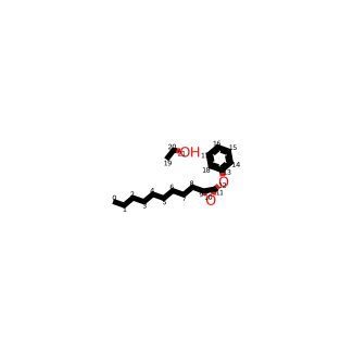 CCCCCCCCCC1OC1Oc1ccccc1.CCO